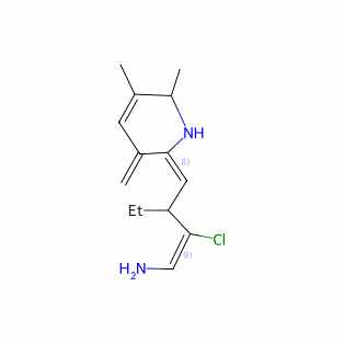 C=C1C=C(C)C(C)N/C1=C/C(CC)/C(Cl)=C\N